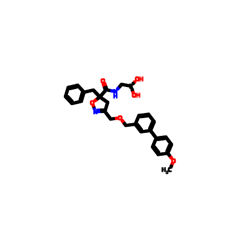 COc1ccc(-c2cccc(COCC3=NOC(Cc4ccccc4)(C(=O)NCB(O)O)C3)c2)cc1